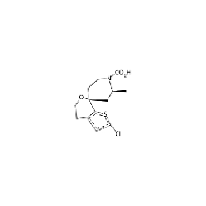 C[C@H]1C[C@]2(CCN1C(=O)O)OCCc1cc(Cl)sc12